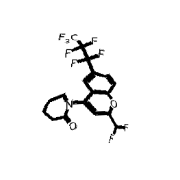 O=C1CCCCN1C1=CC(C(F)F)Oc2ccc(C(F)(F)C(F)(F)C(F)(F)F)cc21